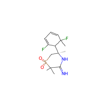 CC1(F)C=CC=C(F)C1[C@]1(C)CS(=O)(=O)C(C)(C)C(=N)N1